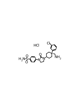 Cl.NC[C@]1(c2cccc(Cl)c2)CC[C@H](N2CCN(c3ccc(S(N)(=O)=O)cc3)C2=O)CC1